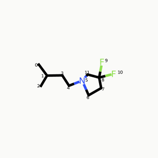 [CH2]C(C)CCN1CCC(F)(F)C1